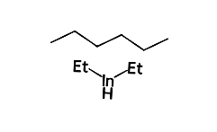 CCCCCC.C[CH2][InH][CH2]C